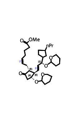 CCCC1CCC([C@@H](/C=C/[C@H]2[C@H](OC3CCCCO3)CC(=O)[C@@H]2C/C=C\CCCC(=O)OC)OC2CCCCO2)C1